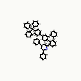 c1ccc(-c2cc(-c3ccccc3)nc(-c3cccc4c5ccccc5c5cc(-c6ccc7c(c6)-c6ccccc6C7(c6ccccc6)c6ccccc6)ccc5c34)c2)cc1